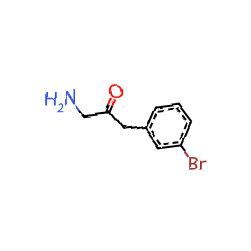 NCC(=O)Cc1cccc(Br)c1